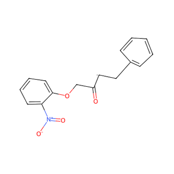 O=C([CH]Cc1ccccc1)COc1ccccc1[N+](=O)[O-]